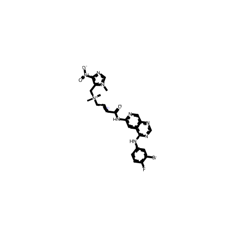 Cn1cnc([N+](=O)[O-])c1C[N+](C)(C)C/C=C/C(=O)Nc1cc2c(Nc3ccc(F)c(Br)c3)ncnc2cn1